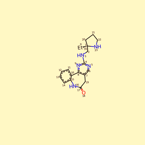 CC[C@@]1(CNc2ncc3c(n2)-c2ccccc2NC(=O)C3)CCCN1